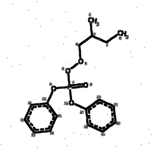 CCC(C)COOP(=O)(Oc1ccccc1)Oc1ccccc1